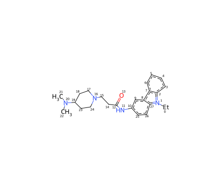 CCn1c2ccccc2c2cc(NC(=O)CCN3CCC(N(C)C)CC3)ccc21